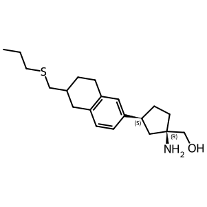 CCCSCC1CCc2cc([C@H]3CC[C@](N)(CO)C3)ccc2C1